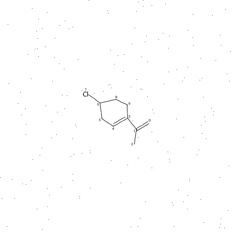 C=C(C)C1=CCC(Cl)CC1